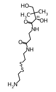 CC(C)(CO)[C@@H](O)C(=O)NCCC(=O)NCCSSCCN